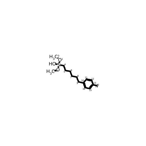 CO[Si](O)(CCCCCCc1ccc(F)cc1)OC